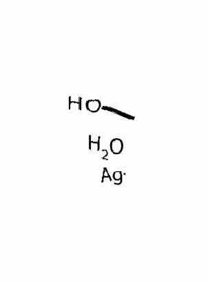 CO.O.[Ag]